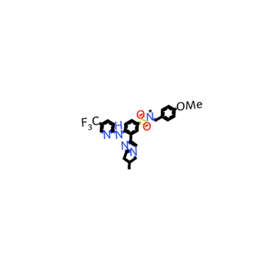 COc1ccc(CN(C)S(=O)(=O)c2ccc(Nc3ccc(C(F)(F)F)cn3)c(-c3cn4c(n3)CC(C)C4)c2)cc1